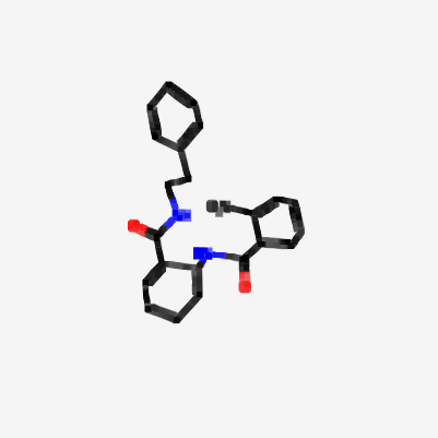 O=C(NCCc1ccccc1)c1ccccc1NC(=O)c1ccccc1[N+](=O)[O-]